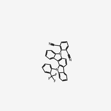 N#Cc1cccc(C#N)c1-n1c2ccccc2c2c1ccc1c3ccccc3n(-c3ccccc3C(F)(F)F)c12